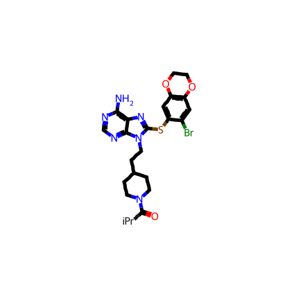 CC(C)C(=O)N1CCC(CCn2c(Sc3cc4c(cc3Br)OCCO4)nc3c(N)ncnc32)CC1